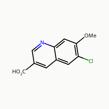 COc1cc2ncc(C(=O)O)cc2cc1Cl